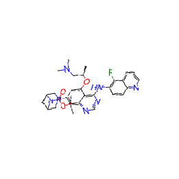 C[C@H](CN(C)C)Oc1cc(N2CC3CC(C2)N3C(=O)OC(C)(C)C)cc2ncnc(Nc3ccc4ncccc4c3F)c12